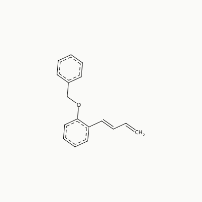 C=CC=Cc1ccccc1OCc1ccccc1